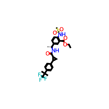 CCOC(=O)c1cc([C@@H](C)NC(=O)C2CC2c2ccc(C(C)(C)C(F)(F)F)cc2)ccc1NS(C)(=O)=O